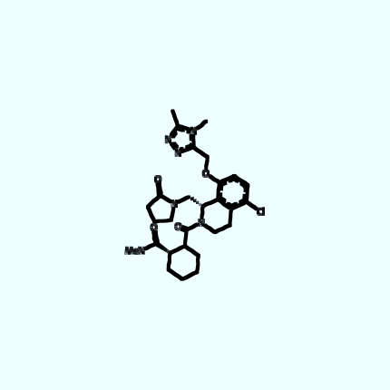 CNC(=O)[C@@H]1CCCCC1C(=O)N1CCc2c(Cl)ccc(OCc3nnc(C)n3C)c2[C@H]1CN1CCCC1=O